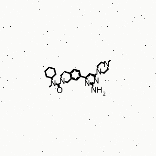 CN1CCN(c2cc(-c3ccc4c(c3)CN(C(=O)N(C)C3CCCCC3)CC4)nc(N)n2)CC1